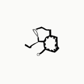 CC[C@H]1OCCc2cccc(Cl)c21